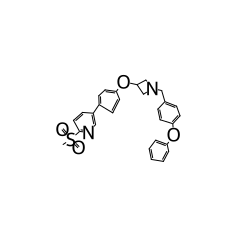 CS(=O)(=O)c1ccc(-c2ccc(OC3CN(Cc4ccc(Oc5ccccc5)cc4)C3)cc2)cn1